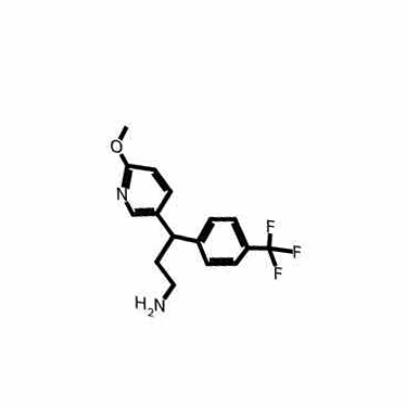 COc1ccc(C(CCN)c2ccc(C(F)(F)F)cc2)cn1